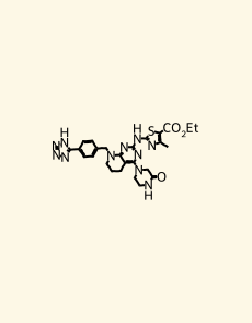 CCOC(=O)c1sc(Nc2nc(N3CCNC(=O)C3)c3c(n2)N(Cc2ccc(-c4nnn[nH]4)cc2)CCC3)nc1C